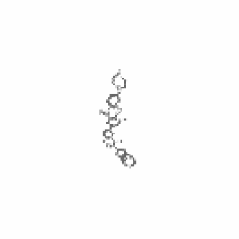 CN1CCN(c2ccc(Nc3cc(-c4ccc(F)c(NC(=O)c5cc6c(s5)C5CCC6CC5)c4)cn(C)c3=O)nc2)CC1